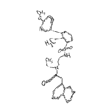 CCN(CCNS(=O)(=O)c1cccc(-c2ccc(OC)nc2)c1C)C(=O)Cc1cccc2ccccc12